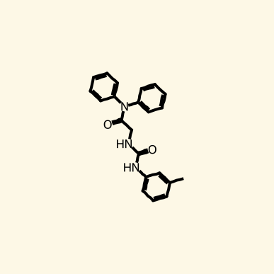 Cc1cccc(NC(=O)NCC(=O)N(c2ccccc2)c2ccccc2)c1